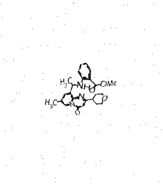 COC(=O)c1ccccc1NC(C)c1cc(C)cn2c(=O)cc(C3CCOCC3)nc12